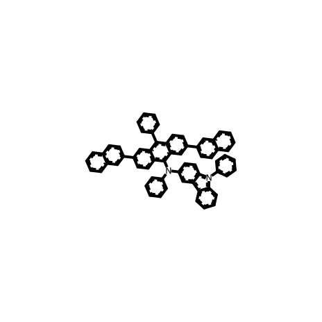 c1ccc(-c2c3cc(-c4ccc5ccccc5c4)ccc3c(N(c3ccccc3)c3ccc4c(c3)c3ccccc3n4-c3ccccc3)c3cc(-c4ccc5ccccc5c4)ccc23)cc1